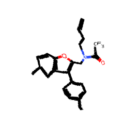 C=CCCN(Cc1oc2ccc(C)cc2c1-c1ccc(C)cc1)C(=O)C(F)(F)F